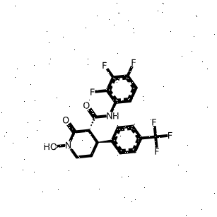 O=C(Nc1ccc(F)c(F)c1F)[C@H]1C(=O)N(O)CC[C@@H]1c1ccc(C(F)(F)F)cc1